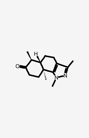 Cc1nn(C)c2c1CC[C@H]1[C@H](C)C(=O)CC[C@]21C